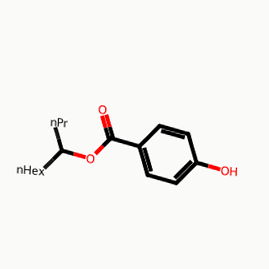 CCCCCCC(CCC)OC(=O)c1ccc(O)cc1